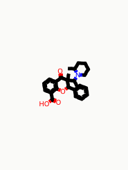 CCC(N1CCCCC1C)C1(C)C(=O)c2cccc(C(=O)O)c2OC1c1ccccc1